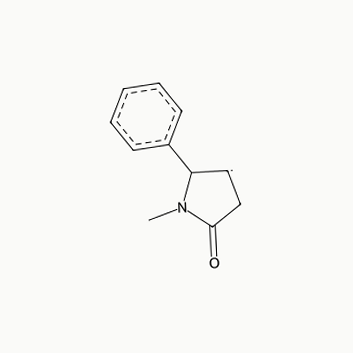 CN1C(=O)C[CH]C1c1ccccc1